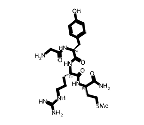 CSCC[C@@H](NC(=O)[C@H](CCCNC(=N)N)NC(=O)[C@H](Cc1ccc(O)cc1)NC(=O)CN)C(N)=O